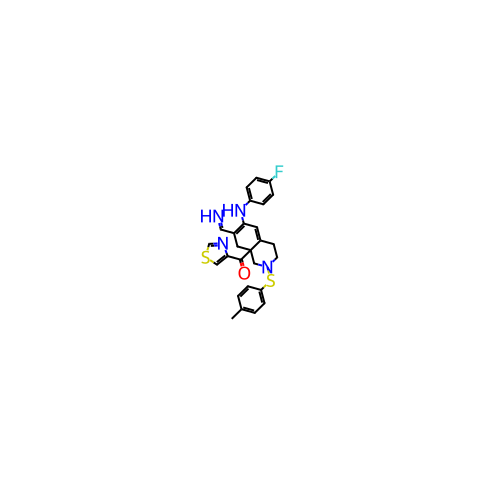 Cc1ccc(SN2CCC3=CC(Nc4ccc(F)cc4)=C(C=N)CC3(C(=O)c3cscn3)C2)cc1